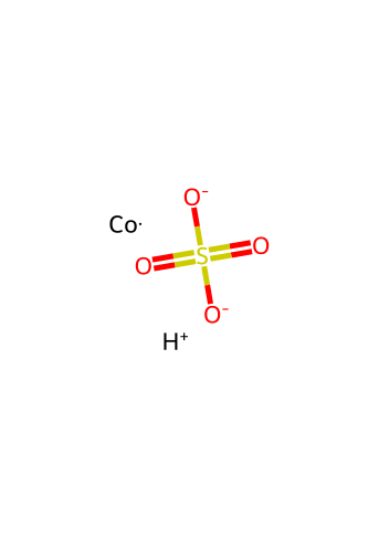 O=S(=O)([O-])[O-].[Co].[H+]